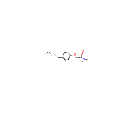 CCCCCc1ccc(OCC(=O)N(C)C)cc1